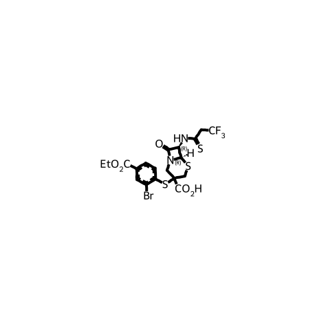 CCOC(=O)c1ccc(SC2(C(=O)O)CS[C@@H]3[C@H](NC(=S)CC(F)(F)F)C(=O)N3C2)c(Br)c1